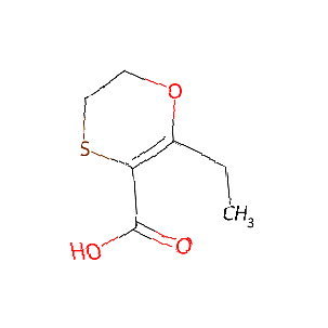 CCC1=C(C(=O)O)SCCO1